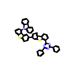 c1ccc(-c2nc(-c3ccccc3)nc(-c3cccc4c3sc3cc(-c5ccc6sc7cccc(-n8c9ccccc9c9ccccc98)c7c6c5)ccc34)n2)cc1